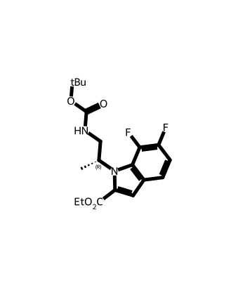 CCOC(=O)c1cc2ccc(F)c(F)c2n1[C@H](C)CNC(=O)OC(C)(C)C